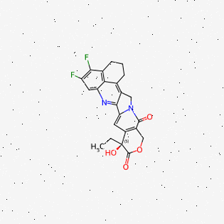 CC[C@@]1(O)C(=O)OCc2c1cc1n(c2=O)Cc2c-1nc1cc(F)c(F)c3c1c2CCC3